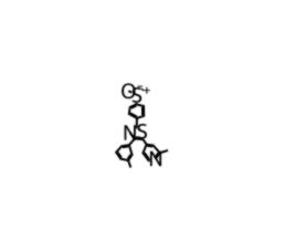 Cc1cccc(-c2nc(-c3ccc([S+](C)[O-])cc3)sc2-c2ccnc(C)c2)c1